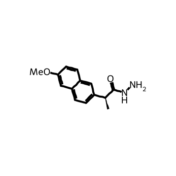 COc1ccc2cc([C@H](C)C(=O)NN)ccc2c1